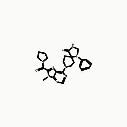 Cn1c(C(=O)N2CCCC2)nc2c(N3CCC4(CC3)C(=O)NCN4c3ccccc3)ncnc21